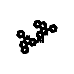 c1ccc(-c2nc3cc(Pc4ccc5c(c4)nc(-c4ccccc4)c4ccc6ccccc6c45)ccc3c3c2ccc2ccccc23)cc1